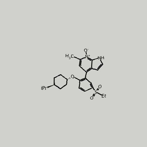 CCS(=O)(=O)c1ccc(O[C@H]2CC[C@H](C(C)C)CC2)c(-c2cc(C)[n+]([O-])c3[nH]ccc23)c1